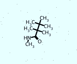 CNC(=O)C(C)(C)C(C)(C)C